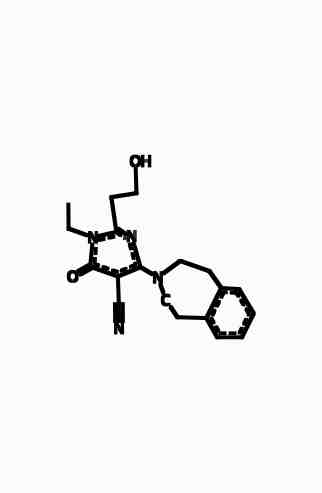 CCn1c(CCO)nc(N2CCc3ccccc3CC2)c(C#N)c1=O